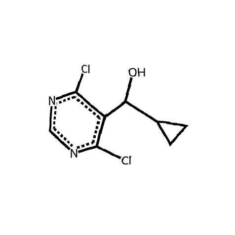 OC(c1c(Cl)ncnc1Cl)C1CC1